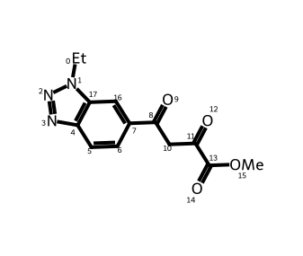 CCn1nnc2ccc(C(=O)CC(=O)C(=O)OC)cc21